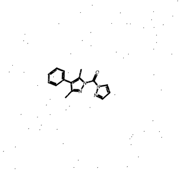 Cc1nn(C(=O)n2cccn2)c(C)c1-c1ccccc1